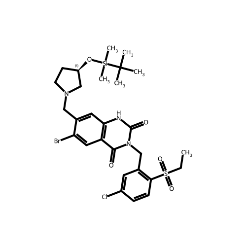 CCS(=O)(=O)c1ccc(Cl)cc1Cn1c(=O)[nH]c2cc(CN3CC[C@@H](O[Si](C)(C)C(C)(C)C)C3)c(Br)cc2c1=O